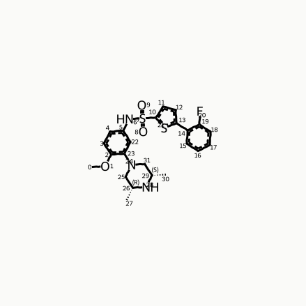 COc1ccc(NS(=O)(=O)c2ccc(-c3ccccc3F)s2)cc1N1C[C@@H](C)N[C@@H](C)C1